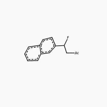 CC(=O)CC(F)c1ccc2ccccc2c1